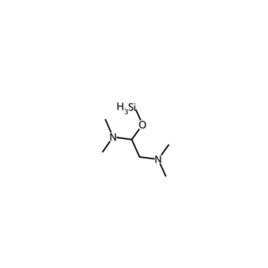 CN(C)CC(O[SiH3])N(C)C